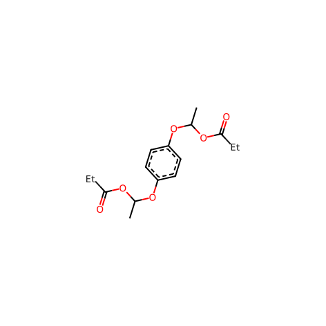 CCC(=O)OC(C)Oc1ccc(OC(C)OC(=O)CC)cc1